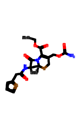 COCOC(=O)C1=C(COC(N)=O)CS[C@@H]2N1C(=O)[C@]2(NC(=O)Cc1cccs1)OC